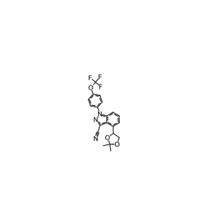 CC1(C)OCC(c2cccc3c2c(C#N)nn3-c2ccc(OC(F)(F)F)cc2)O1